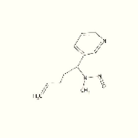 C=CCCC(c1cccnc1)N(C)N=O